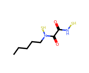 CCCCCN(S)C(=O)C(=O)NS